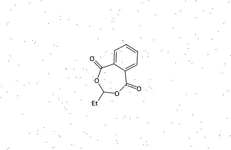 CCC1OC(=O)c2ccccc2C(=O)O1